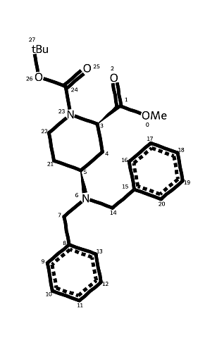 COC(=O)[C@H]1C[C@@H](N(Cc2ccccc2)Cc2ccccc2)CCN1C(=O)OC(C)(C)C